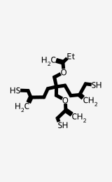 C=C(CS)CCC(CCC(=C)CS)(COC(=C)CC)COC(=C)CS